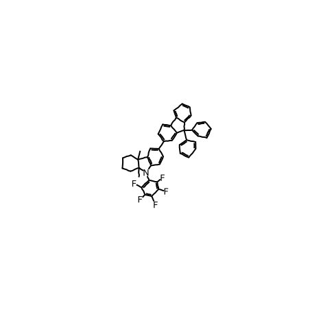 CC12CCCCC1(C)N(c1c(F)c(F)c(F)c(F)c1F)c1ccc(-c3ccc4c(c3)C(c3ccccc3)(c3ccccc3)c3ccccc3-4)cc12